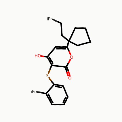 CC(C)CCC1(c2cc(O)c(Sc3ccccc3C(C)C)c(=O)o2)CCCC1